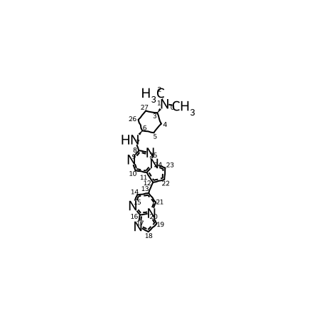 CN(C)[C@H]1CC[C@@H](Nc2ncc3c(-c4cnc5nccn5c4)ccn3n2)CC1